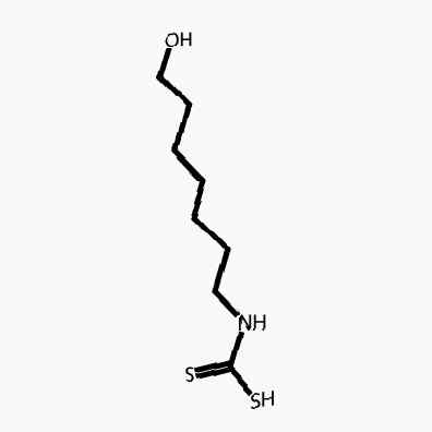 OCCCCCCCNC(=S)S